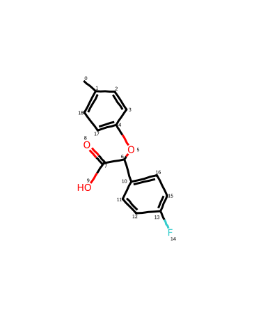 Cc1ccc(OC(C(=O)O)c2ccc(F)cc2)cc1